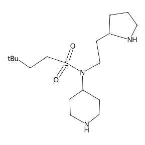 CC(C)(C)CCS(=O)(=O)N(CCC1CCCN1)C1CCNCC1